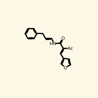 CC(=O)C(=Cc1ccoc1)C(=O)NC=CCc1ccccc1